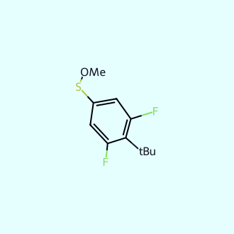 COSc1cc(F)c(C(C)(C)C)c(F)c1